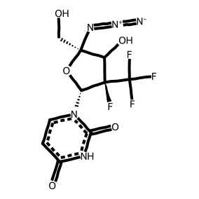 [N-]=[N+]=N[C@]1(CO)O[C@@H](n2ccc(=O)[nH]c2=O)[C@@](F)(C(F)(F)F)C1O